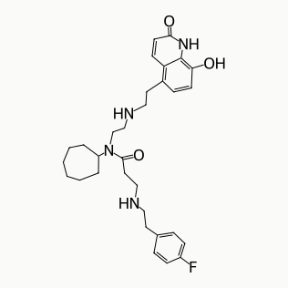 O=C(CCNCCc1ccc(F)cc1)N(CCNCCc1ccc(O)c2[nH]c(=O)ccc12)C1CCCCCC1